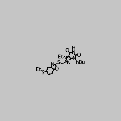 CCCCn1c(=O)[nH]c(=O)c2c1nc(CSc1nc3cc(SCC)ccc3o1)n2CC